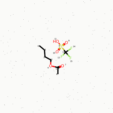 CCCCOC(C)=O.O=S(=O)(O)C(F)(F)F